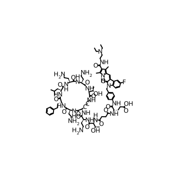 CCN(CC)CCNC(=O)c1c(C)[nH]c(/C=C2\C(=O)N(Cc3ccc(NC(=O)[C@H](CCC(=O)O)NC(=O)CCC(=O)N[C@H](C(=O)N[C@@H](CCN)C(=O)N[C@H]4CCNC(=O)[C@H]([C@@H](C)O)NC(=O)[C@H](CCN)NC(=O)[C@H](CCN)NC(=O)[C@H](CC(C)C)NC(=O)[C@@H](CCc5ccccc5)NC(=O)[C@H](CCN)NC4=O)[C@@H](C)O)cc3)c3ccc(F)cc32)c1C